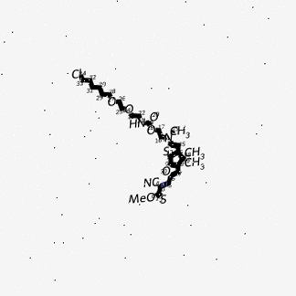 COC(=S)/C(C#N)=C/c1cc2c(o1)-c1sc(N(C)CCOC(=O)NCCOCCOCCCCCCCl)cc1C2(C)C